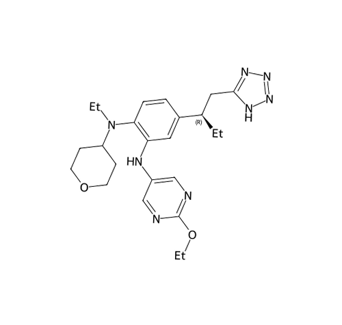 CCOc1ncc(Nc2cc([C@H](CC)Cc3nnn[nH]3)ccc2N(CC)C2CCOCC2)cn1